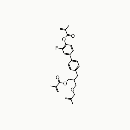 C=C(C)COCC(COC(=O)C(=C)C)Cc1ccc(-c2ccc(OC(=O)C(=C)C)c(F)c2)cc1